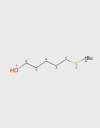 CC(C)(C)SCCCCCO